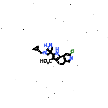 NCC1(c2[nH]c3c(c2C(=O)O)CCc2cnc(Cl)cc2-3)CN(CC2CC2)C1